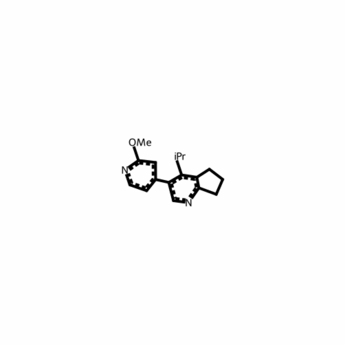 COc1cc(-c2cnc3c(c2C(C)C)CCC3)ccn1